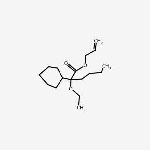 C=CCOC(=O)C(CCCC)(OCC)C1CCCCC1